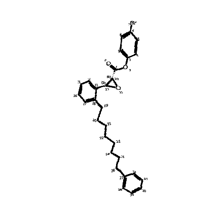 O=C(Oc1ccc(Br)cc1)[C@@H]1O[C@H]1c1ccccc1CCCCCCCCc1ccccc1